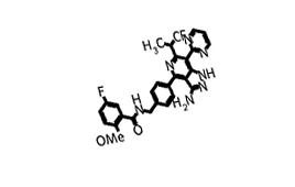 COc1ccc(F)cc1C(=O)NCc1ccc(-c2nc(C(C)C(F)(F)F)c(-c3ncccn3)c3[nH]nc(N)c23)cc1